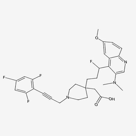 COc1ccc2ncc(N(C)C)c(C(F)CCC3(CC(=O)O)CCN(CC#Cc4c(F)cc(F)cc4F)CC3)c2c1